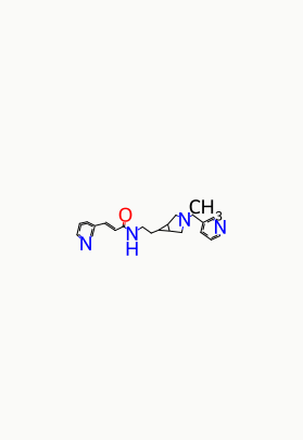 CC(c1cccnc1)N1CC2C(CCNC(=O)/C=C/c3cccnc3)C2C1